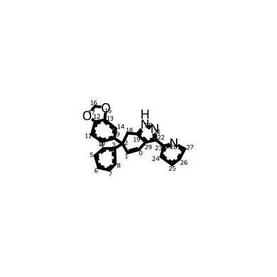 C1=CC(c2ccccc2)(c2ccc3c(c2)OCO3)Cc2[nH]nc(-c3ccccn3)c21